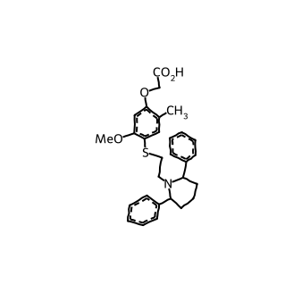 COc1cc(OCC(=O)O)c(C)cc1SCCN1C(c2ccccc2)CCCC1c1ccccc1